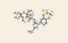 Cc1cn(-c2ccc3c(c2)OC(F)(F)C(F)(F)O3)/c(=N/C(=O)NC(C)(C)CC(C)(C)C)s1